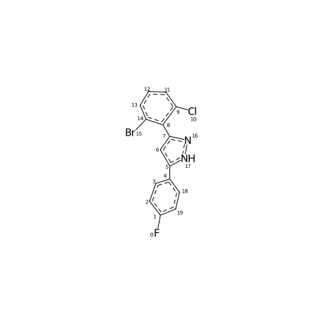 Fc1ccc(-c2cc(-c3c(Cl)cccc3Br)n[nH]2)cc1